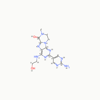 CN1CCn2c(nc3c(NCCO)nc(-c4cnc(N)nc4)nc32)C1=O